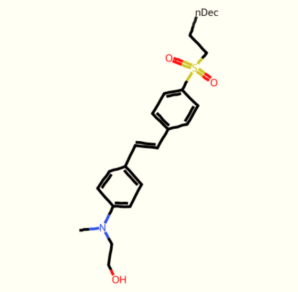 CCCCCCCCCCCCS(=O)(=O)c1ccc(C=Cc2ccc(N(C)CCO)cc2)cc1